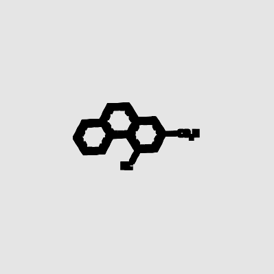 N#Cc1cc(C(=O)O)cc2ccc3ccccc3c12